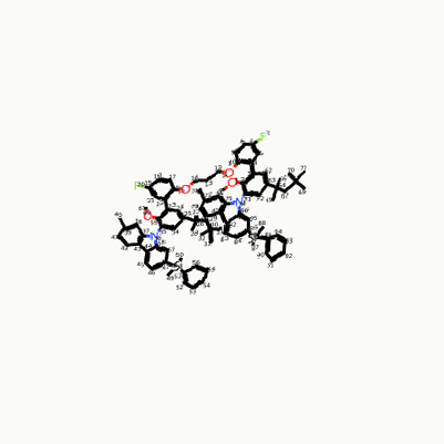 COc1c(-c2cc(F)ccc2OCCCOc2ccc(F)cc2-c2cc(C(C)(C)CC(C)(C)C)cc(-n3c4cc(C)ccc4c4ccc([Si](C)(C)c5ccccc5)cc43)c2OC)cc(C(C)(C)CC(C)(C)C)cc1-n1c2cc(C)ccc2c2ccc([Si](C)(C)c3ccccc3)cc21